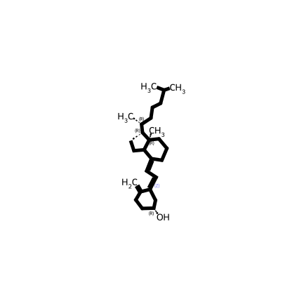 C=C1CC[C@@H](O)C/C1=C/C=C1CCC[C@@]2(C)C1CC[C@@H]2[C@H](C)CCCC(C)C